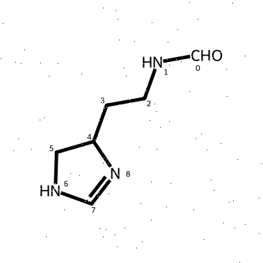 O=CNCCC1CNC=N1